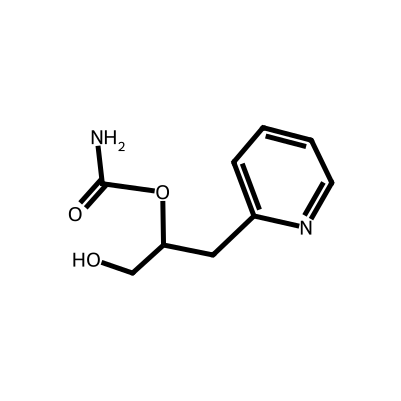 NC(=O)OC(CO)Cc1ccccn1